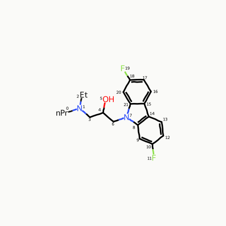 CCCN(CC)CC(O)Cn1c2cc(F)ccc2c2ccc(F)cc21